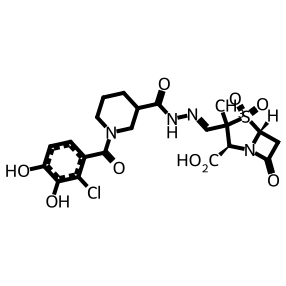 CC1(/C=N/NC(=O)C2CCCN(C(=O)c3ccc(O)c(O)c3Cl)C2)[C@H](C(=O)O)N2C(=O)C[C@H]2S1(=O)=O